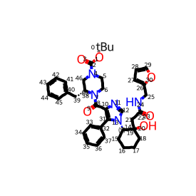 CC(C)(C)OC(=O)N1CCN(C(=O)c2ncn([C@H]3CCCCC3(O)CC(=O)NCc3ccco3)c2-c2ccccc2)[C@H](Cc2ccccc2)C1